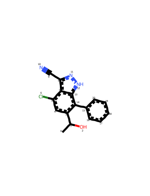 CC(O)c1cc(Cl)c2c(C#N)n[nH]c2c1-c1ccccc1